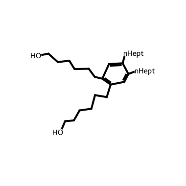 CCCCCCCc1cc(CCCCCCO)c(CCCCCCO)cc1CCCCCCC